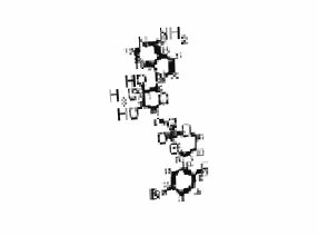 C[C@@]1(O)[C@H](O)[C@@H](CO[P@@]2(=O)OCC[C@@H](c3cc(Br)ccc3F)O2)O[C@H]1n1ccc2c(N)ncnc21